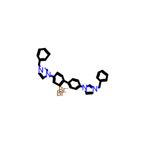 [Br-].[Br-].c1ccc(C[n+]2ccn(-c3ccc(-c4ccc(-n5cc[n+](Cc6ccccc6)c5)cc4)cc3)c2)cc1